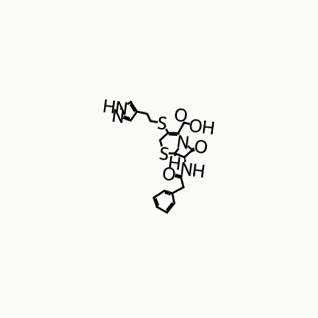 O=C(Cc1ccccc1)N[C@@H]1C(=O)N2C(C(=O)O)=C(SCCc3cn[nH]c3)CS[C@@H]12